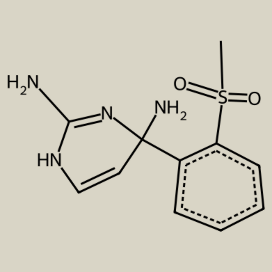 CS(=O)(=O)c1ccccc1C1(N)C=CNC(N)=N1